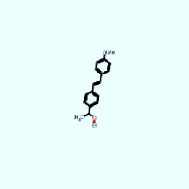 CCOC(C)c1ccc(/C=C/c2ccc(NC)cc2)cc1